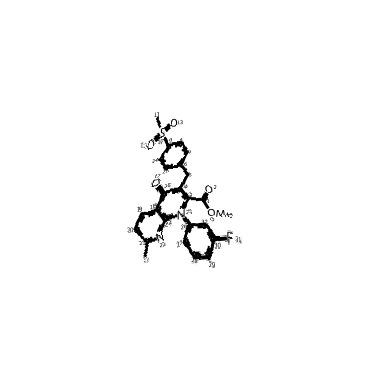 COC(=O)c1c(Cc2ccc(S(C)(=O)=O)cc2)c(=O)c2ccc(C)nc2n1-c1cccc(F)c1